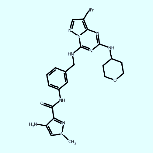 CC(C)c1cnn2c(NCc3cccc(NC(=O)c4nn(C)cc4N)c3)nc(NC3CCOCC3)nc12